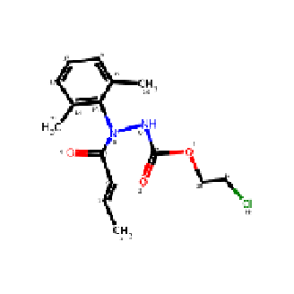 CC=CC(=O)N(NC(=O)OCCCl)c1c(C)cccc1C